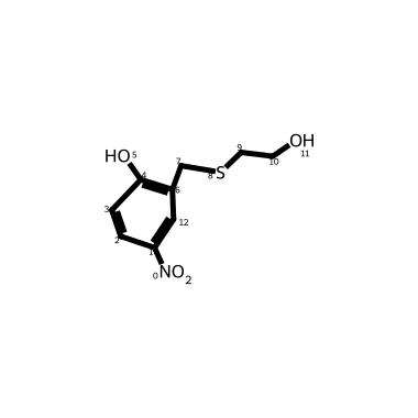 O=[N+]([O-])c1ccc(O)c(CSCCO)c1